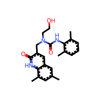 Cc1cc(C)c2[nH]c(=O)c(CN(CCO)C(=O)Nc3c(C)cccc3C)cc2c1